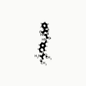 COC/C(N)=C(\OC)N1CCc2ccc(CNC(=O)c3nc4sc5ccccc5c4c(=O)[nH]3)cc2C1